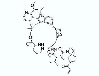 C=CC(=O)N1CC[C@@]2(CCN2C(=O)N(C)[C@H](C(=O)N[C@H]2Cc3nc(cs3)-c3ccc4c(c3)c(c(-c3cccnc3[C@H](C)OC)n4CC)CC(C)(C)COC(=O)[C@@H]3CCCN(N3)C2=O)C(C)C)C1